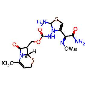 CON=C(C(N)=O)C1=CSC(N)N1NC(=O)OCC1C(=O)N2C(C(=O)O)=CCS[C@@H]12